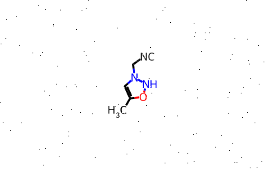 [C-]#[N+]CN1C=C(C)ON1